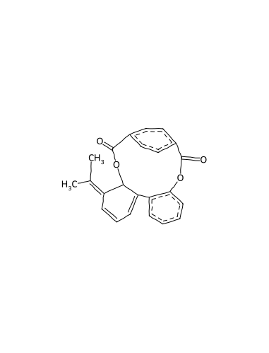 CC(C)=C1C=CC=C2c3ccccc3OC(=O)c3ccc(cc3)C(=O)OC21